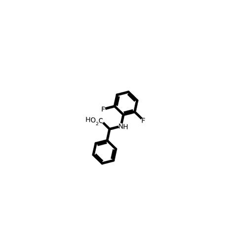 O=C(O)C(Nc1c(F)cccc1F)c1ccccc1